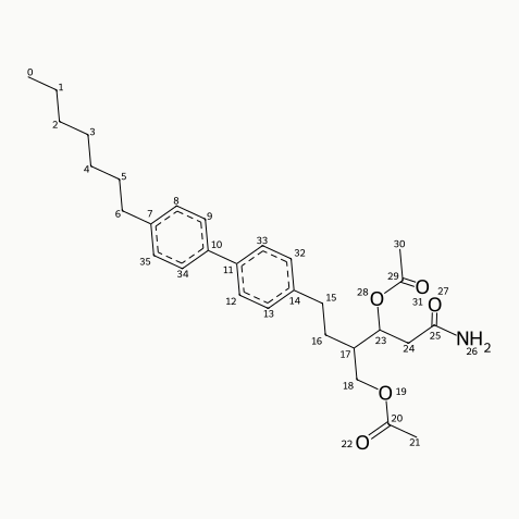 CCCCCCCc1ccc(-c2ccc(CCC(COC(C)=O)C(CC(N)=O)OC(C)=O)cc2)cc1